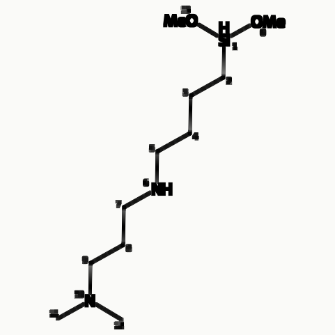 CO[SiH](CCCCNCCCN(C)C)OC